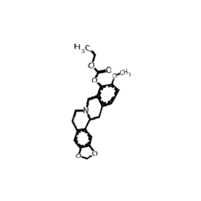 CCOC(=O)Oc1c(OC)ccc2c1CN1CCc3cc4c(cc3C1C2)OCO4